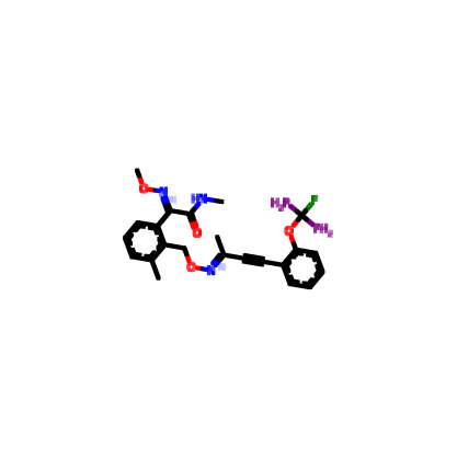 CNC(=O)/C(=N/OC)c1cccc(C)c1CO/N=C(\C)C#Cc1ccccc1OC(F)(P)P